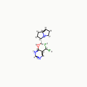 FC(F)c1cncnc1OC[C@@H]1CCC2=CCCN21